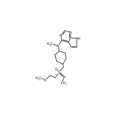 CN=S(=O)(CCOC)CC1CCC(N(C)c2ncnc3[nH]ccc23)CC1